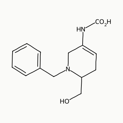 O=C(O)NC1=CCC(CO)N(Cc2ccccc2)C1